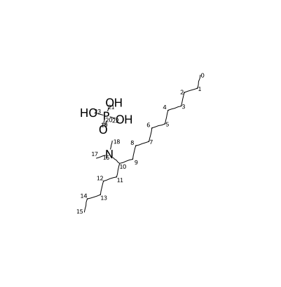 CCCCCCCCCCC(CCCCC)N(C)C.O=P(O)(O)O